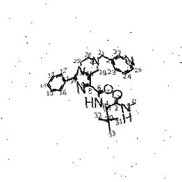 CNC(=O)[C@@H](NC(=O)c1nc(-c2ccccc2)n2c1CN(Cc1cccnc1)CC2)C(C)(C)C